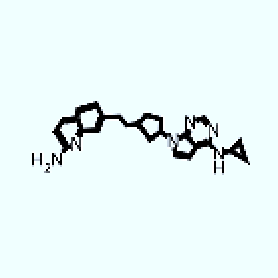 Nc1ccc2ccc(CCC3CCC(n4ccc5c(NC6CC6)ncnc54)C3)cc2n1